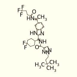 C[C@@H](NC(=O)CCC(F)(F)F)c1ccc2nc([C@@H](NC(=O)c3cnn(CCC(C)(C)C)n3)C3CCC(F)(F)CC3)[nH]c2c1